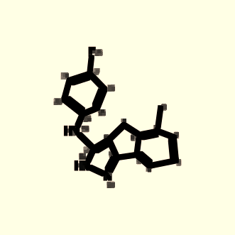 Cc1cccc2c1Cc1c-2n[nH]c1Nc1ccc(F)cc1